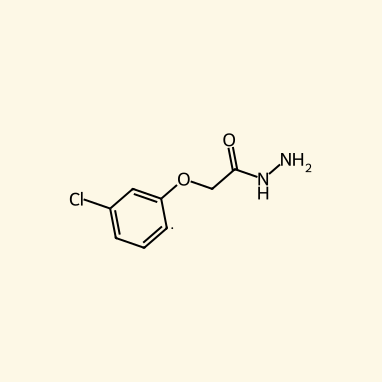 NNC(=O)COc1[c]ccc(Cl)c1